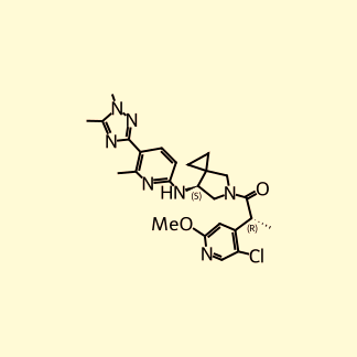 COc1cc([C@@H](C)C(=O)N2C[C@@H](Nc3ccc(-c4nc(C)n(C)n4)c(C)n3)C3(CC3)C2)c(Cl)cn1